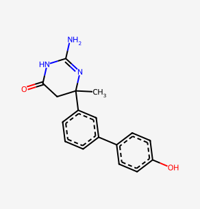 CC1(c2cccc(-c3ccc(O)cc3)c2)CC(=O)NC(N)=N1